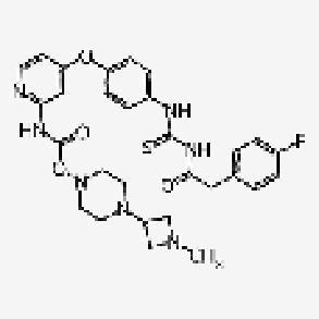 CN1CC(N2CCN(OC(=O)Nc3cc(Oc4ccc(NC(=S)NC(=O)Cc5ccc(F)cc5)cc4)ccn3)CC2)C1